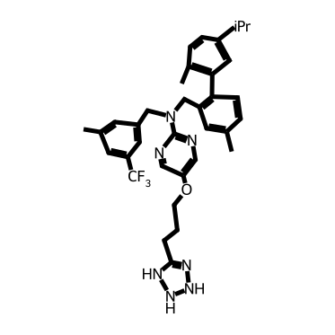 Cc1cc(CN(Cc2cc(C)ccc2-c2cc(C(C)C)ccc2C)c2ncc(OCCCC3=NNNN3)cn2)cc(C(F)(F)F)c1